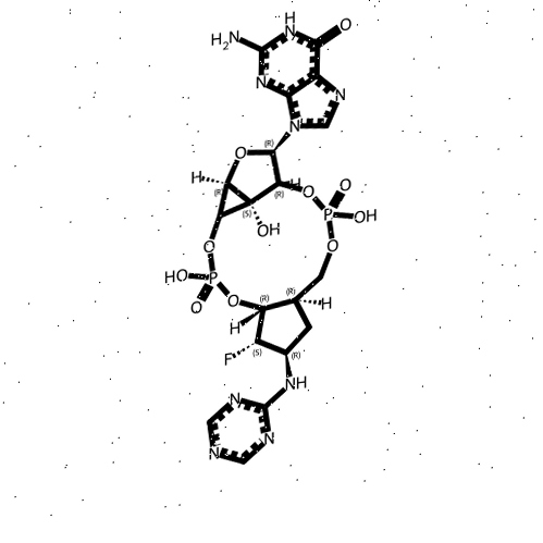 Nc1nc2c(ncn2[C@@H]2O[C@@H]3C4OP(=O)(O)O[C@@H]5[C@@H](COP(=O)(O)O[C@@H]2[C@@]43O)C[C@@H](Nc2ncncn2)[C@@H]5F)c(=O)[nH]1